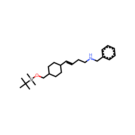 CC(C)(C)[Si](C)(C)OCC1CCC(C=CCCNCc2ccccc2)CC1